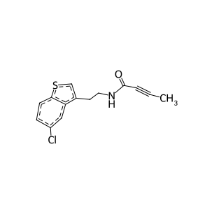 CC#CC(=O)NCCc1csc2ccc(Cl)cc12